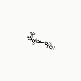 CNC(=O)N1CCc2c(-c3cc(OC)c(CN4CCC5(CC(C#Cc6ccc7c(c6)C(=O)N(C6CCC(O)NC6=O)C7=O)C5)C4)c(OC)c3)cn(C)c(=O)c2C1